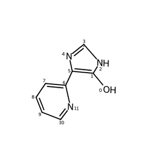 Oc1[nH][c]nc1-c1ccccn1